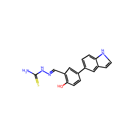 NC(=S)N/N=C/c1cc(-c2ccc3[nH]ccc3c2)ccc1O